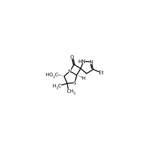 CCC1=NNC2(C1)C(=O)N1[C@@H](C(=O)O)C(C)(C)S[C@@H]12